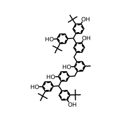 Cc1cc(Cc2ccc(O)c(C(c3ccc(O)c(C(C)(C)C)c3)c3ccc(O)c(C(C)(C)C)c3)c2)c(O)c(Cc2ccc(O)c(C(c3ccc(O)c(C(C)(C)C)c3)c3ccc(O)c(C(C)(C)C)c3)c2)c1